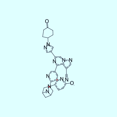 COc1ccc(CN2C3CC2CN(c2ccc(-c4nc(-c5cnn(C6CCC(=O)CC6)c5)cn5ncc(C#N)c45)cn2)C3)cn1